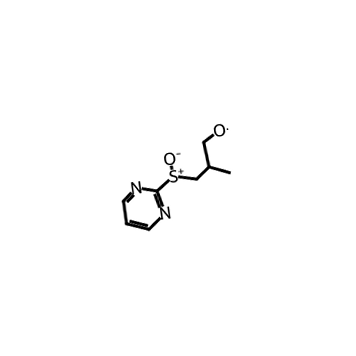 CC(C[O])C[S+]([O-])c1ncccn1